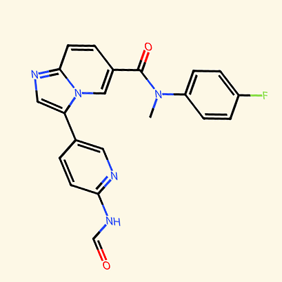 CN(C(=O)c1ccc2ncc(-c3ccc(NC=O)nc3)n2c1)c1ccc(F)cc1